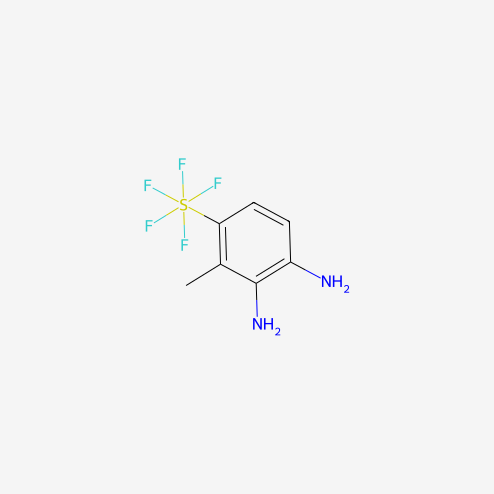 Cc1c(S(F)(F)(F)(F)F)ccc(N)c1N